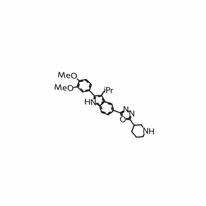 COc1ccc(-c2[nH]c3ccc(-c4nnc(C5CCCNC5)o4)cc3c2C(C)C)cc1OC